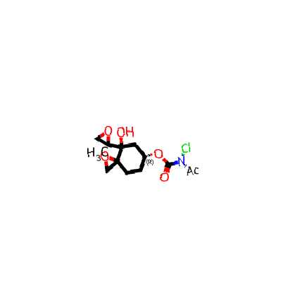 CC(=O)N(Cl)C(=O)O[C@@H]1CCC2(CO2)C(O)(C2(C)CO2)C1